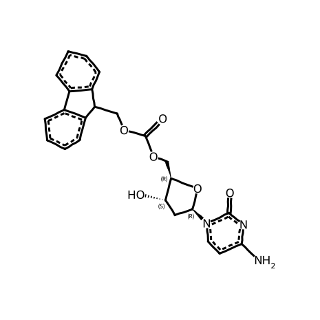 Nc1ccn([C@H]2C[C@H](O)[C@@H](COC(=O)OCC3c4ccccc4-c4ccccc43)O2)c(=O)n1